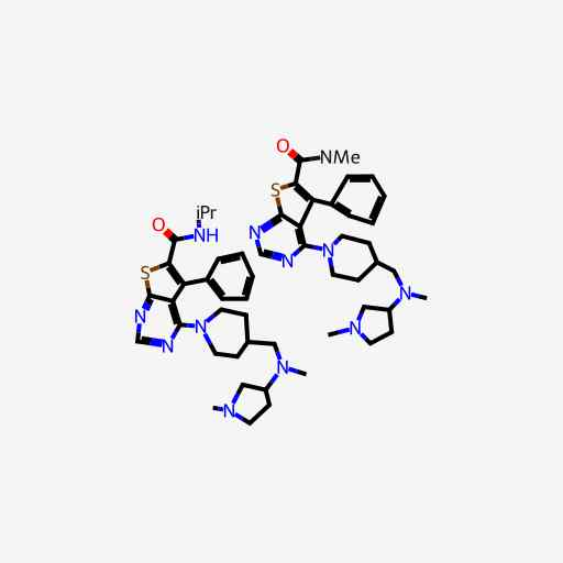 CC(C)NC(=O)c1sc2ncnc(N3CCC(CN(C)C4CCN(C)C4)CC3)c2c1-c1ccccc1.CNC(=O)c1sc2ncnc(N3CCC(CN(C)C4CCN(C)C4)CC3)c2c1-c1ccccc1